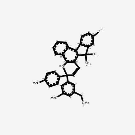 COCc1cc(OC)cc(C2(c3ccc(OC)cc3)C=Cc3c4c(c5ccccc5c3O2)-c2ccc(F)cc2C4(C)C)c1